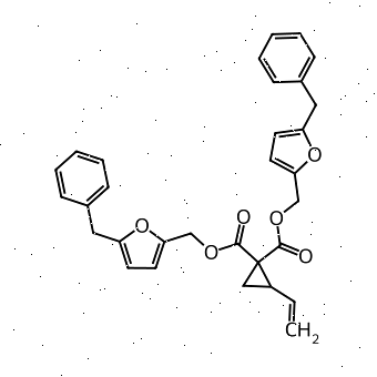 C=CC1CC1(C(=O)OCc1ccc(Cc2ccccc2)o1)C(=O)OCc1ccc(Cc2ccccc2)o1